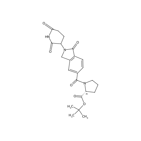 CC(C)(C)OC(=O)[C@H]1CCCN1C(=O)c1ccc2c(c1)CN(C1CCC(=O)NC1=O)C2=O